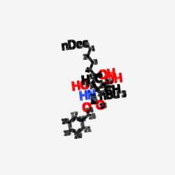 CCCCCCCCCCCCCCC(O)C(O)C(CCCC)(NC(=O)OCc1ccccc1)C(C)(C)O